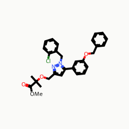 COC(=O)C(C)(C)OCc1cc(-c2cccc(OCc3ccccc3)c2)n(Cc2ccccc2Cl)n1